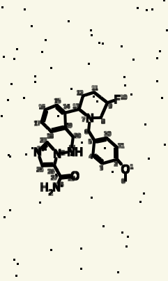 COc1ccc(CN2CC(F)CCC2c2ccccc2CNn2cncc2C(N)=O)cc1